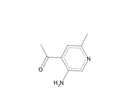 CC(=O)c1cc(C)ncc1N